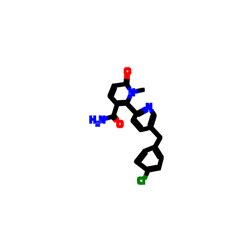 Cn1c(-c2ccc(Cc3ccc(Cl)cc3)cn2)c(C(N)=O)ccc1=O